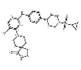 Cc1cnc(Nc2ccc(N3CCN(S(=O)(=O)C4CC4)CC3)cc2)nc1N1CCC2(CCNC2=O)CC1